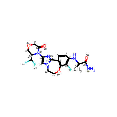 CC(Nc1ccc2c(c1F)OCCn1cc(N3C(=O)COC[C@H]3C(F)F)nc1-2)C(N)=O